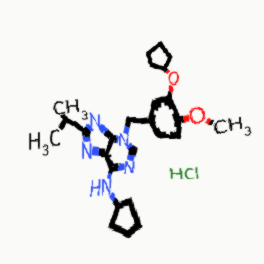 COc1ccc(Cn2cnc(NC3CCCC3)c3nc(C(C)C)nc2-3)cc1OC1CCCC1.Cl